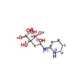 O=C(O)C(O)(CC/N=C1\CCCCN1)P(=O)(O)O